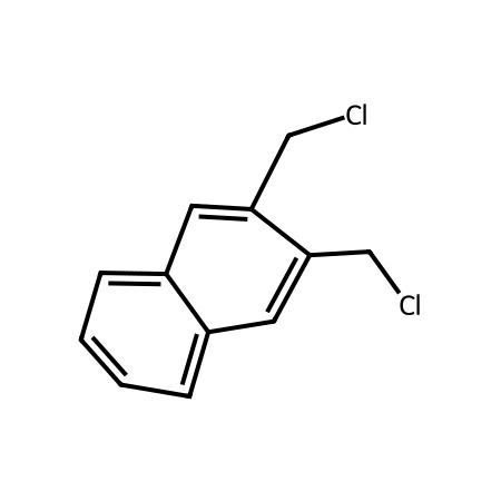 ClCc1cc2ccccc2cc1CCl